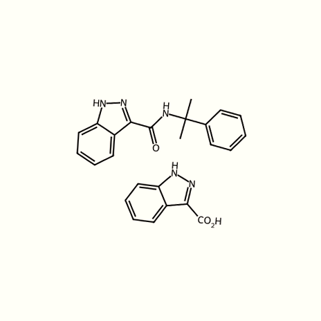 CC(C)(NC(=O)c1n[nH]c2ccccc12)c1ccccc1.O=C(O)c1n[nH]c2ccccc12